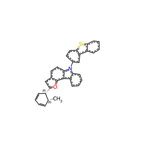 C[C@@H]1C=CC=C[C@@H]1c1cc2ccc3c(c4ccccc4n3-c3ccc4sc5ccccc5c4c3)c2o1